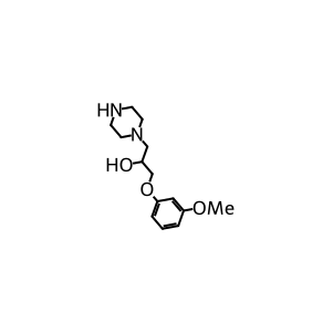 COc1cccc(OCC(O)CN2CCNCC2)c1